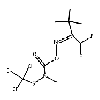 CN(SC(Cl)(Cl)Cl)C(=O)ON=C(C(F)F)C(C)(C)C